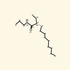 CCCCCCCCC[C@@H](CC)C(=O)NCCC